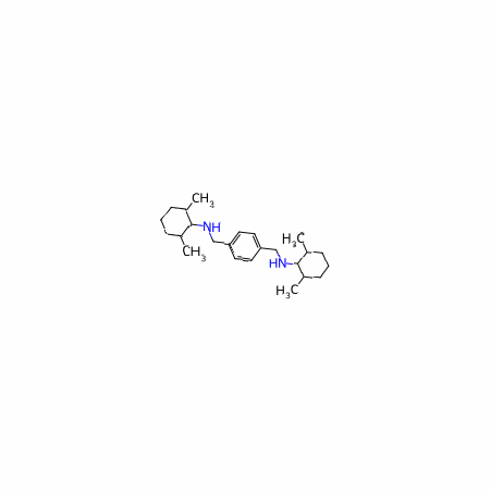 CC1CCCC(C)C1NCc1ccc(CNC2C(C)CCCC2C)cc1